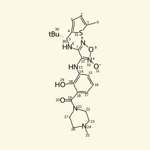 Cc1ccc([C@H](Nc2no[n+]([O-])c2Nc2cccc(C(=O)N3CCN(C)CC3)c2O)C(C)(C)C)s1